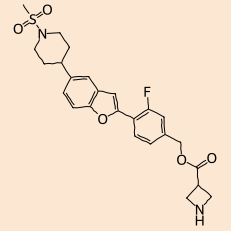 CS(=O)(=O)N1CCC(c2ccc3oc(-c4ccc(COC(=O)C5CNC5)cc4F)cc3c2)CC1